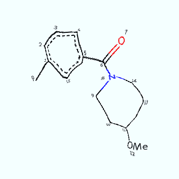 [CH2]c1cccc(C(=O)N2CCC(OC)CC2)c1